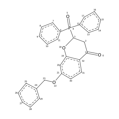 O=C1CC(P(=O)(c2ccccc2)c2ccccc2)Oc2cc(OCc3ccccc3)ccc21